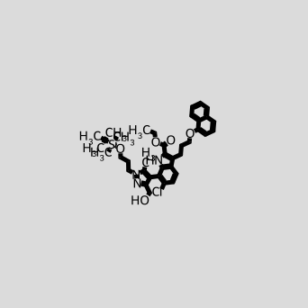 CCOC(=O)c1[nH]c2c(-c3c(CO)nn(CCCO[Si](C)(C)C(C)(C)C)c3C)c(Cl)ccc2c1CCCOc1cccc2ccccc12